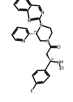 CCN[C@H](CC(=O)N1CCN(c2ncc3ccccc3n2)[C@@H](c2ccccn2)C1)c1ccc(F)cc1